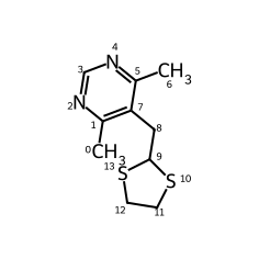 Cc1ncnc(C)c1CC1SCCS1